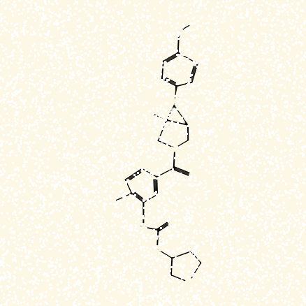 COc1ccc([C@H]2C3CN(C(=O)c4ccc(C)c(NC(=O)NC5CCOC5)c4)C[C@@H]32)cc1